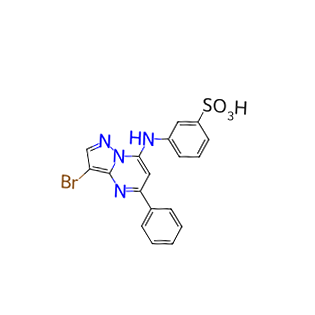 O=S(=O)(O)c1cccc(Nc2cc(-c3ccccc3)nc3c(Br)cnn23)c1